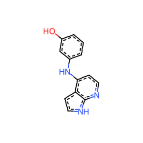 Oc1cccc(Nc2ccnc3[nH]ccc23)c1